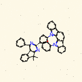 CC1(C)c2ccccc2-c2c(-c3ccccc3)nc(-c3ccc(-n4c5ccccc5c5ccc6c7ccccc7n(-c7ccccc7)c6c54)cc3)nc21